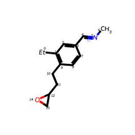 CCc1cc(/C=N/C)ccc1CCC1CO1